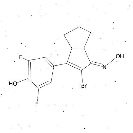 O/N=C1/C(Br)=C(c2cc(F)c(O)c(F)c2)C2CCCC12